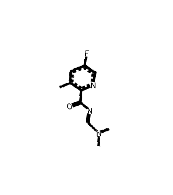 Cc1cc(F)cnc1C(=O)/N=C/N(C)C